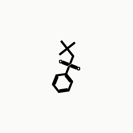 CC(C)(C)CS(=O)(=O)c1ccccc1